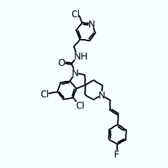 O=C(NCc1ccnc(Cl)c1)N1CC2(CCN(CC=Cc3ccc(F)cc3)CC2)c2c(Cl)cc(Cl)cc21